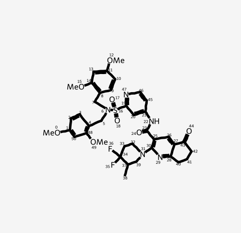 COc1ccc(CN(Cc2ccc(OC)cc2OC)S(=O)(=O)c2cc(NC(=O)c3cc4c(nc3N3CCC(F)(F)C(C)C3)CCCC4=O)ccn2)c(OC)c1